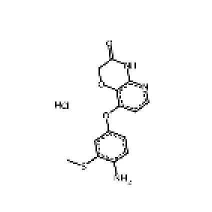 CSc1cc(Oc2ccnc3c2OCC(=O)N3)ccc1N.Cl